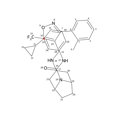 Cc1ccccc1-c1noc(C2CC2)c1CNC1CC2CCC(C1)N2C(=O)Nc1cccc(C(F)(F)F)c1